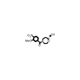 C#C[C@H]1CCN(C(=O)c2ccc([N+](=O)[O-])c(OC)c2)CCO1